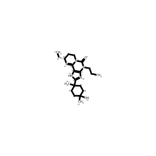 CCCN1C(=O)N2CC[C@@H](CC)N=C2c2[nH]c(C3(C)CCC(C)(O)CC3)nc21